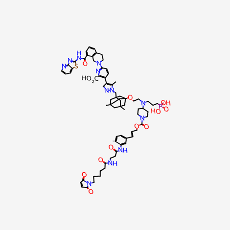 Cc1c(-c2ccc(N3CCc4cccc(C(=O)Nc5nc6ncccc6s5)c4C3)nc2C(=O)O)cnn1CC12CC3(C)CC(C)(C1)CC(OCCN(CCCP(=O)(O)O)C1CCN(C(=O)OC/C=C/c4cc[c]c(NC(=O)CCNC(=O)CCCCCN5C(=O)C=CC5=O)c4)CC1)(C3)C2